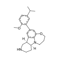 COc1ccc(C(C)C)cc1-c1cc2c3c(c1)[C@@H]1CNCC[C@@H]1N3CCCO2